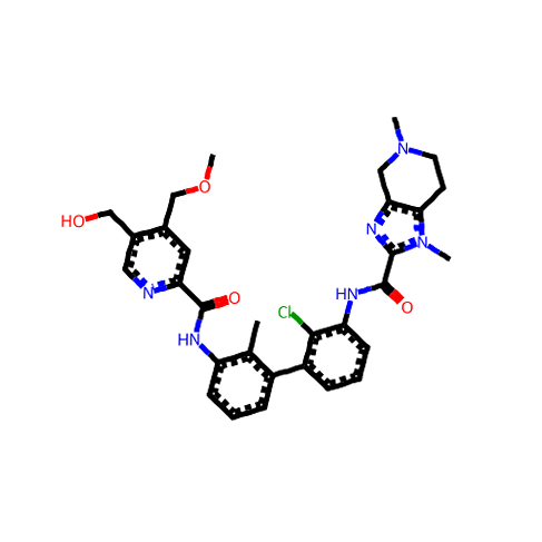 COCc1cc(C(=O)Nc2cccc(-c3cccc(NC(=O)c4nc5c(n4C)CCN(C)C5)c3Cl)c2C)ncc1CO